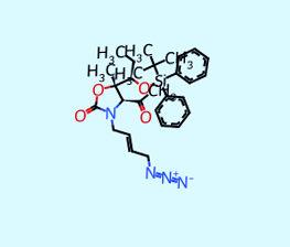 CC[C@@H](O[Si](c1ccccc1)(c1ccccc1)C(C)(C)C)[C@@]1(C)OC(=O)N(C/C=C/CN=[N+]=[N-])[C@@H]1C(C)=O